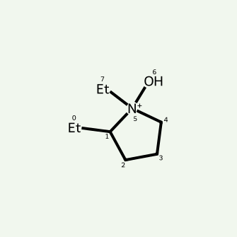 CCC1CCC[N+]1(O)CC